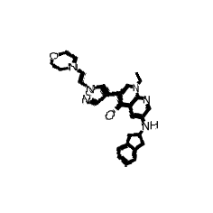 CCn1cc(-c2cnn(CCN3CCOCC3)c2)c(=O)c2cc(NC3Cc4ccccc4C3)cnc21